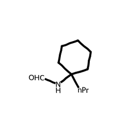 CCCC1(NC=O)CCCCC1